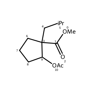 COC(=O)C1(CC(C)C)CCCC1OC(C)=O